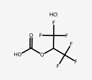 Cl.O=C(O)OC(C(F)(F)F)C(F)(F)F